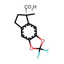 C[C@]1(C(=O)O)CCc2cc3c(cc21)OC(F)(F)O3